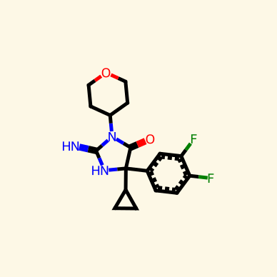 N=C1NC(c2ccc(F)c(F)c2)(C2CC2)C(=O)N1C1CCOCC1